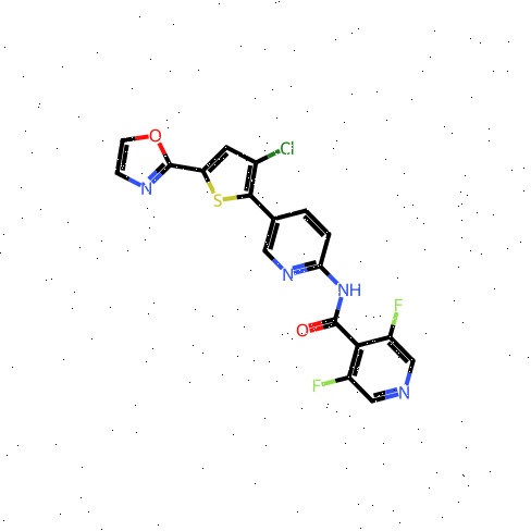 O=C(Nc1ccc(-c2sc(-c3ncco3)cc2Cl)cn1)c1c(F)cncc1F